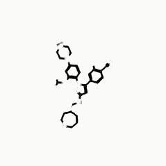 N#Cc1ccc(-c2cc(NC[C@H]3CCCNCC3)nn2-c2ccc(N3CCS(=O)(=O)CC3)cc2OC(F)F)cc1F